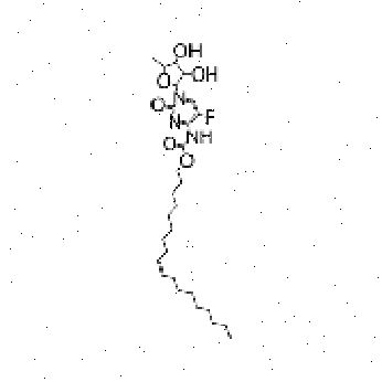 CCCCCCCC/C=C\CCCCCCCCOC(=O)Nc1nc(=O)n(C2OC(C)C(O)C2O)cc1F